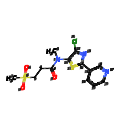 CN(C(=O)CCS(C)(=O)=O)c1sc(-c2cccnc2)nc1Cl